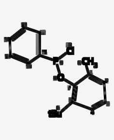 Cc1cccc(C(C)(C)C)c1OP(Cl)c1ccccc1